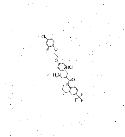 Cl.NCC(Cc1ccc(OCCOc2ccc(Cl)cc2F)cc1)C(=O)N1CCCc2cc(C(F)(F)F)ccc21